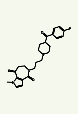 Cn1ccc2c1C(=O)CCN(CCCN1CCC(C(=O)c3ccc(F)cc3)CC1)C2=O